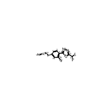 [N-]=[N+]=NCc1ccc(-c2nnc(C(F)F)o2)c(F)c1